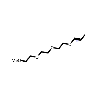 C/C=C/OCCOCCOCCOC